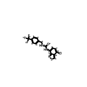 O=C(NCc1ccc(C(F)(F)F)cc1)Nc1ccc(Cl)c2csnc12